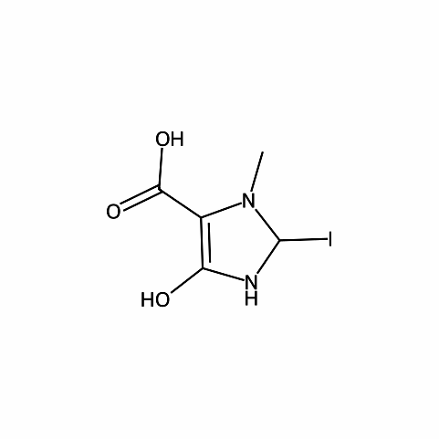 CN1C(C(=O)O)=C(O)NC1I